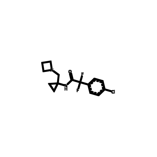 O=C(NC1(CN2CCC2)CC1)C(F)(F)c1ccc(Cl)cc1